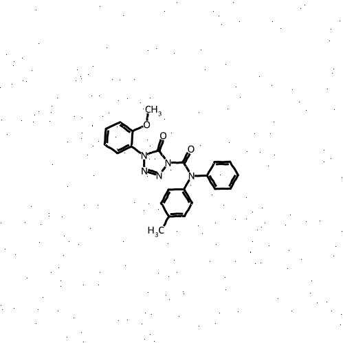 COc1ccccc1-n1nnn(C(=O)N(c2ccccc2)c2ccc(C)cc2)c1=O